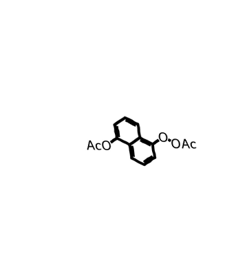 CC(=O)OOc1cccc2c(OC(C)=O)cccc12